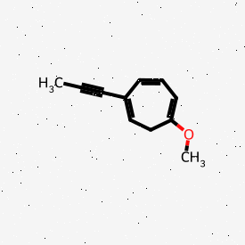 CC#CC1=CCC(OC)=CC=C1